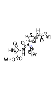 COC(=O)C1NC(=O)C1NC(=O)/C(=N\OC(C)C)c1csc(NC(=O)CCl)n1